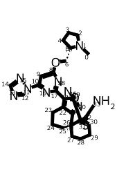 CN1CCC[C@H]1COc1cc(-n2cncn2)nc(-c2onc3c2CCC[C@@]32CCCc3sc(N)c(C#N)c32)n1